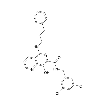 O=C(NCc1cc(Cl)cc(Cl)c1)c1nc(NCCCc2ccccc2)c2cccnc2c1O